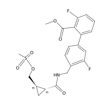 COC(=O)c1c(F)cccc1-c1ccc(CNC(=O)[C@@H]2C[C@H]2COS(C)(=O)=O)c(F)c1